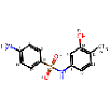 Nc1ccc(S(=O)(=O)Nc2ccc(C(F)(F)F)c(O)c2)cc1